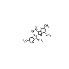 CC[S+]([O-])c1c(-c2nc3cc(C(F)(F)F)cnc3n2C)nn2c(C)cc(C)nc12